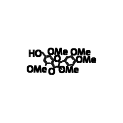 COc1ccc(-c2oc3c(OC)c(CO)cc(OC)c3c(=O)c2OC)cc1OC